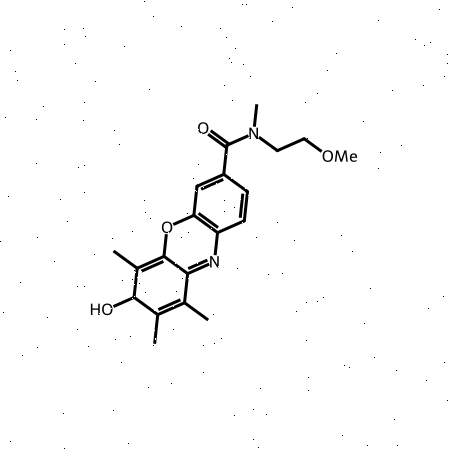 COCCN(C)C(=O)c1ccc2c(c1)OC1=C(C)C(O)C(C)=C(C)C1=N2